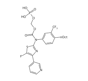 CCCCCCCCc1ccc(N(C(=O)OCOP(=O)(O)O)c2nc(-c3cccnc3)c(F)s2)cc1C(F)(F)F